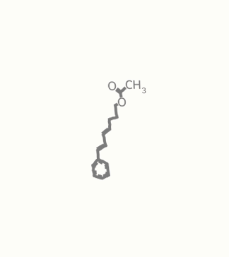 CC(=O)OCCCC=CC=Cc1ccccc1